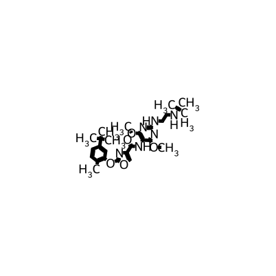 COc1nc(NCCNC(C)(C)C)nc(OC)c1NC(=O)c1coc(Oc2cc(C(C)(C)C)ccc2C)n1